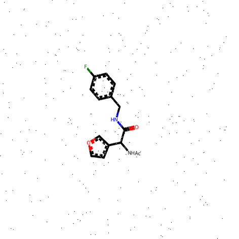 CC(=O)NC(C(=O)NCc1ccc(F)cc1)c1ccoc1